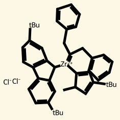 CC1C=C(C(C)(C)C)C=[C]1[Zr+2](=[C](Cc1ccccc1)Cc1ccccc1)[CH]1c2cc(C(C)(C)C)ccc2-c2ccc(C(C)(C)C)cc21.[Cl-].[Cl-]